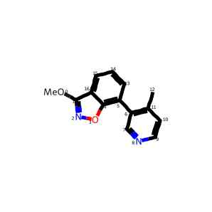 COc1noc2c(-c3cnccc3C)cccc12